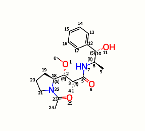 CO[C@H]([C@@H](C)C(=O)N[C@H](C)[C@@H](O)c1ccccc1)[C@@H]1CCCN1C(C)=O